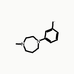 [CH2]c1cccc(N2CCCN(C)CC2)c1